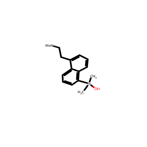 CNCCc1cccc2c([Si](C)(C)O)cccc12